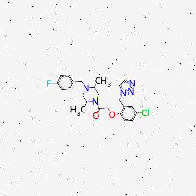 CC1CN(C(=O)COc2ccc(Cl)cc2Cn2ccnn2)C(C)CN1Cc1ccc(F)cc1